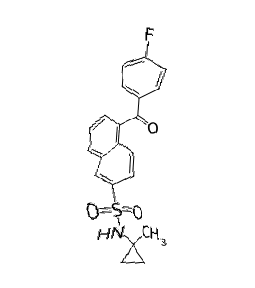 CC1(NS(=O)(=O)c2ccc3c(C(=O)c4ccc(F)cc4)cccc3c2)CC1